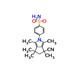 Cc1c2c(c(C)n1-c1ccc(S(N)(=O)=O)cc1)C(C)(C#N)CC2(C)C